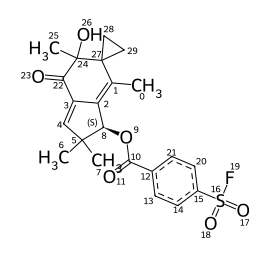 CC1=C2C(=CC(C)(C)[C@@H]2OC(=O)c2ccc(S(=O)(=O)F)cc2)C(=O)C(C)(O)C12CC2